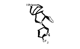 O=C1CC2(CN1c1ccc(C(F)(F)F)nc1)C1CNCC2C1